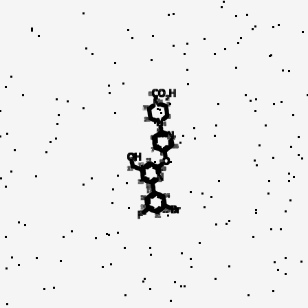 O=C(O)N1CCN(c2ccc(Oc3cc(CO)cc(-c4cc(F)cc(Br)c4)n3)cn2)CC1